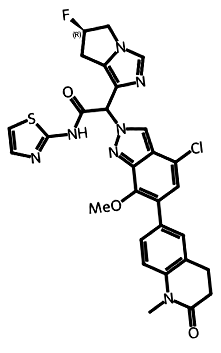 COc1c(-c2ccc3c(c2)CCC(=O)N3C)cc(Cl)c2cn(C(C(=O)Nc3nccs3)c3ncn4c3C[C@@H](F)C4)nc12